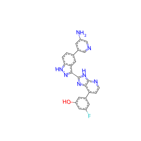 Nc1cncc(-c2ccc3[nH]nc(-c4nc5c(-c6cc(O)cc(F)c6)ccnc5[nH]4)c3c2)c1